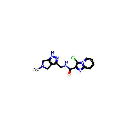 N#CN1Cc2[nH]nc(CNC(=O)c3nc4ccccn4c3Cl)c2C1